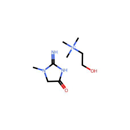 CN1CC(=O)NC1=N.C[N+](C)(C)CCO